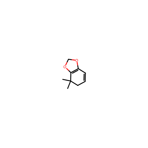 CC1(C)CC=CC2=C1OCO2